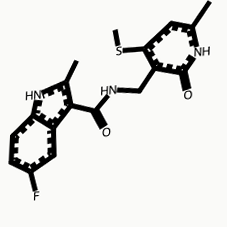 CSc1cc(C)[nH]c(=O)c1CNC(=O)c1c(C)[nH]c2ccc(F)cc12